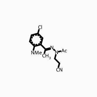 CNc1ccc(Cl)cc1/C(C)=N/N(CCC#N)C(C)=O